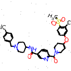 Cc1cc(OC2CCN(C(=O)c3ccc(C(=O)NC4CCN(Cc5ccc(C#N)cc5)CC4)cn3)CC2)ccc1S(C)(=O)=O